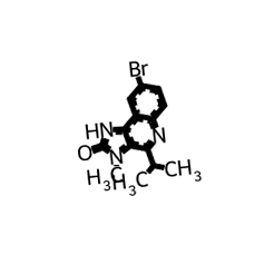 CC(C)c1nc2ccc(Br)cc2c2[nH]c(=O)n(C)c12